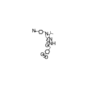 CC(C)C1c2nc(NC(=O)Cc3ccc(S(C)(=O)=O)cc3)sc2CN1Cc1ccc(C#N)cc1